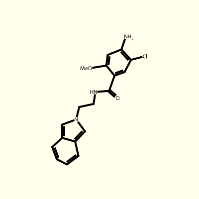 COc1cc(N)c(Cl)cc1C(=O)NCCn1cc2ccccc2c1